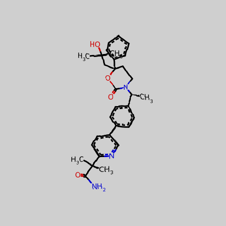 C[C@@H](c1ccc(-c2ccc(C(C)(C)C(N)=O)nc2)cc1)N1CCC(CC(C)(C)O)(c2ccccc2)OC1=O